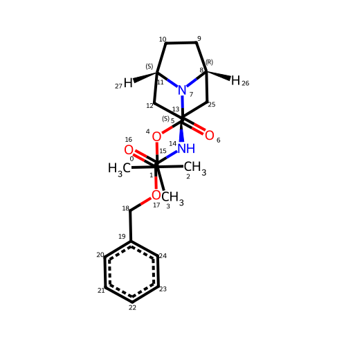 CC(C)(C)OC(=O)N1[C@@H]2CC[C@H]1C[C@H](NC(=O)OCc1ccccc1)C2